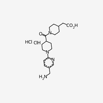 Cl.Cl.NCc1ccc(N2CCC(C(=O)N3CCC(CC(=O)O)CC3)CC2)nc1